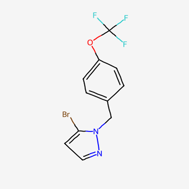 FC(F)(F)Oc1ccc(Cn2nccc2Br)cc1